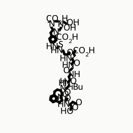 CC[C@H](C)[C@H](NC(=O)CNC(=O)CNC(=O)[C@H](CCC(=O)O)NC(=O)CCNC(=S)Nc1ccc(CC2CN(CC(=O)O)CCN(CC(O)O)CCN2CC(=O)O)cc1)C(=O)N[C@H]1CCc2cccc3c2N(C1=O)[C@H](C(=O)NC1CC(=O)OC1O)C3